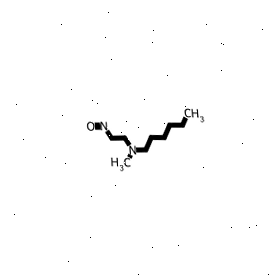 CCCCCCN(C)CCN=O